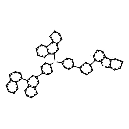 c1cc(-c2ccc(N(c3ccc(-c4cc(-c5cccc6ccccc56)c5ccccc5c4)cc3)c3cc4ccccc4c4ccccc34)cc2)cc(-c2cccc3c2oc2ccccc23)c1